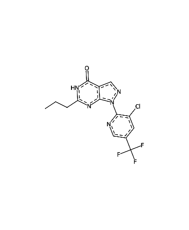 CCCc1nc2c(cnn2-c2ncc(C(F)(F)F)cc2Cl)c(=O)[nH]1